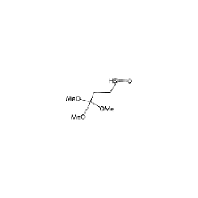 COC(CC[SiH]=O)(OC)OC